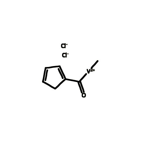 [CH3][V+2][C](=O)C1=CC=CC1.[Cl-].[Cl-]